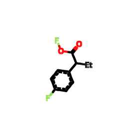 CCC(C(=O)OF)c1ccc(F)cc1